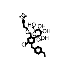 CCc1ccc(Cc2cc(C3(OC)O[C@H](CO)[C@@H](O)[C@H](O)[C@H]3O)c(COCCC#C[Si](C)(C)C)cc2Cl)cc1